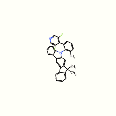 Cc1cccc(-c2c(F)cncc2F)c1-n1c2ccccc2c2cc3c(cc21)C(C)(C)c1ccccc1-3